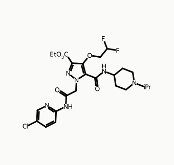 CCOC(=O)c1nn(CC(=O)Nc2ccc(Cl)cn2)c(C(=O)NC2CCN(C(C)C)CC2)c1OCC(F)F